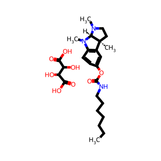 CCCCCCCNC(=O)Oc1ccc2c(c1)[C@]1(C)CCN(C)[C@@H]1N2C.O=C(O)C(O)C(O)C(=O)O